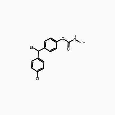 CCCNC(=O)Oc1ccc([C](CC)c2ccc(Cl)cc2)cc1